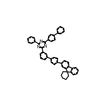 c1ccc(-c2ccc(-c3nc(-c4ccccc4)nc(-c4cccc(-c5ccc(-c6ccc7c(c6)C6(CCCCC6)c6ccccc6-7)cc5)c4)n3)cc2)cc1